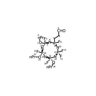 CCCOP1(F)=NP(F)(CCC=O)=NP(F)(F)=NP(F)(OCCC)=NP(F)(OCCC)=N1